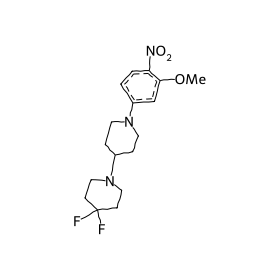 COc1cc(N2CCC(N3CCC(F)(F)CC3)CC2)ccc1[N+](=O)[O-]